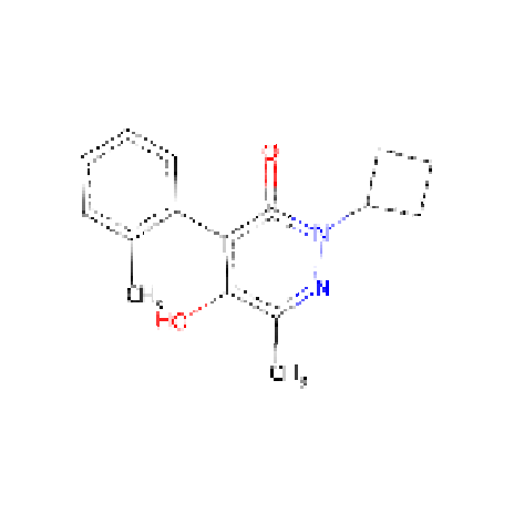 Cc1ccccc1-c1c(O)c(C)nn(C2CCC2)c1=O